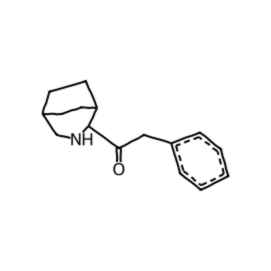 O=C(Cc1ccccc1)C1NCC2CCC1CC2